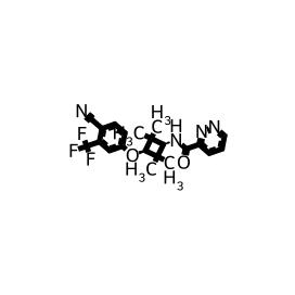 CC1(C)[C@H](NC(=O)c2cccnn2)C(C)(C)[C@H]1Oc1ccc(C#N)c(C(F)(F)F)c1